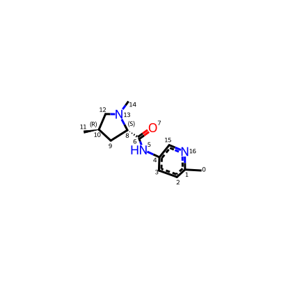 Cc1ccc(NC(=O)[C@@H]2C[C@@H](C)CN2C)cn1